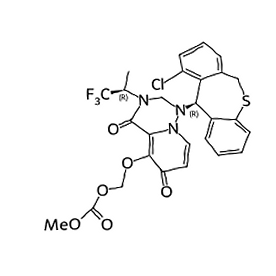 COC(=O)OCOc1c2n(ccc1=O)N([C@@H]1c3ccccc3SCc3cccc(Cl)c31)CN([C@H](C)C(F)(F)F)C2=O